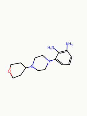 Nc1cccc(N2CCN(C3CCOCC3)CC2)c1N